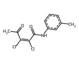 CC(=O)/C(Cl)=C(/Cl)C(=O)Nc1cccc(C)c1